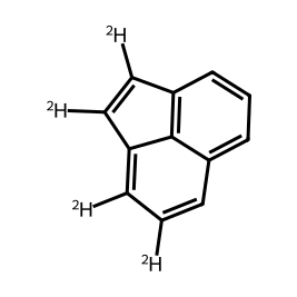 [2H]C1=C([2H])c2c([2H])c([2H])cc3cccc1c23